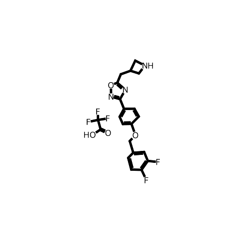 Fc1ccc(COc2ccc(-c3noc(CC4CNC4)n3)cc2)cc1F.O=C(O)C(F)(F)F